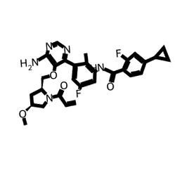 C=CC(=O)N1C[C@@H](OC)C[C@H]1COc1c(N)ncnc1-c1cc(F)cc(NC(=O)c2ccc(C3CC3)cc2F)c1C